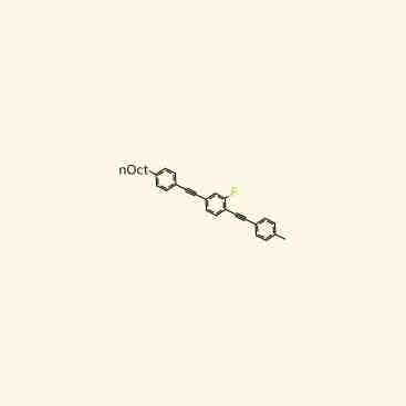 CCCCCCCCc1ccc(C#Cc2ccc(C#Cc3ccc(C)cc3)c(F)c2)cc1